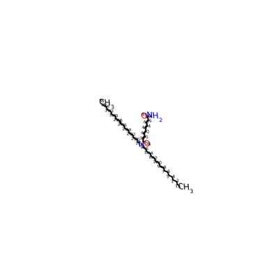 CCCCCCCCC=CCCCCCCCCN(CCCCCCCCC=CCCCCCCCC)C(=O)CCCCCCCCC(N)=O